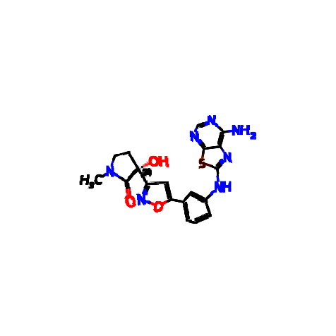 CN1CC[C@@](O)(c2cc(-c3cccc(Nc4nc5c(N)ncnc5s4)c3)on2)C1=O